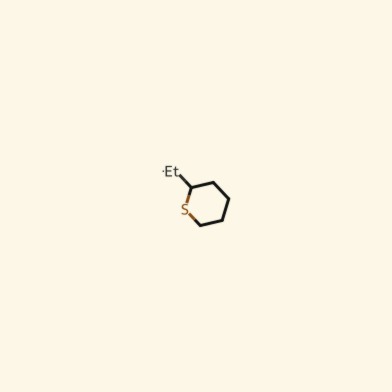 C[CH]C1CCCCS1